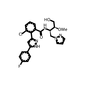 CO[C@H](CO)[C@@H](Cn1cccn1)NC(=O)c1cccc(Cl)c1-c1cc(-c2ccc(F)cc2)[nH]n1